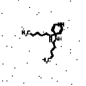 CCCCCNC1(NCCCCC)C=CNC=C1